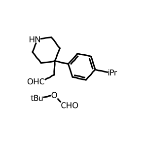 CC(C)(C)OC=O.CC(C)c1ccc(C2(CC=O)CCNCC2)cc1